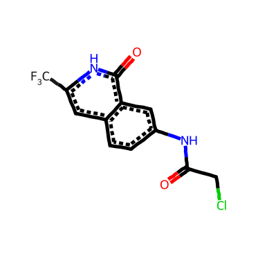 O=C(CCl)Nc1ccc2cc(C(F)(F)F)[nH]c(=O)c2c1